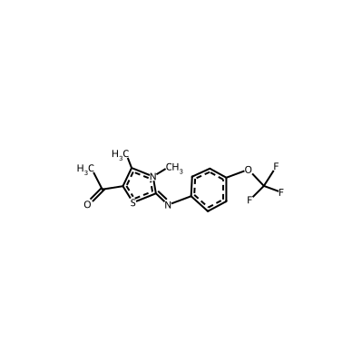 CC(=O)c1s/c(=N/c2ccc(OC(F)(F)F)cc2)n(C)c1C